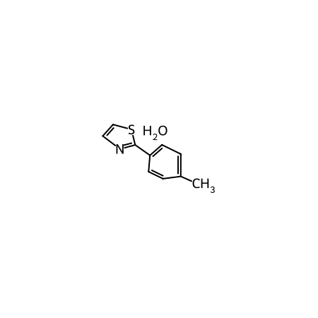 Cc1ccc(-c2nccs2)cc1.O